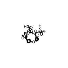 CC(=O)N[C@H]1Cc2ccc(cc2)Oc2cccc(c2)CC(C(=O)N[C@@H](CS)C(=O)O)NC(=O)[C@H](CCC(=O)O)NC1=O